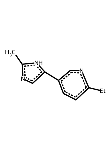 CCc1ccc(-c2cnc(C)[nH]2)cn1